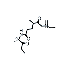 CCNCC(=O)C(C)CCC(=O)N[C@@H](C)C(=O)CC